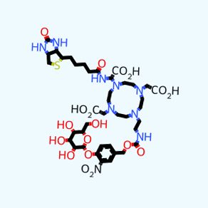 O=C(O)CN1CCN(CCNC(=O)OCc2ccc(OC3OC(CO)C(O)C(O)C3O)c([N+](=O)[O-])c2)CCN(CC(=O)O)CCN(C(NC(=O)CCCCC2SCC3NC(=O)NC32)C(=O)O)CC1